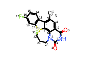 O=c1[nH]c(=O)n2c3c4c(c(C(F)(F)F)cc13)-c1ccc(F)cc1S4(F)CCC2